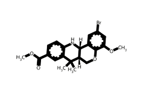 COC(=O)c1ccc2c(c1)C(C)(C)[C@H]1COc3c(OC)cc(Br)cc3[C@H]1N2